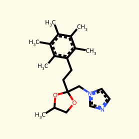 Cc1c(C)c(C)c(CCC2(Cn3ccnc3)OCC(C)O2)c(C)c1C